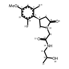 COc1cc(F)c([C@H]2CC(=O)N(CC(=O)NCC(C)O)C2)c(F)c1